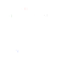 CCOc1cc(/C=C/C#N)cc(Cl)c1O